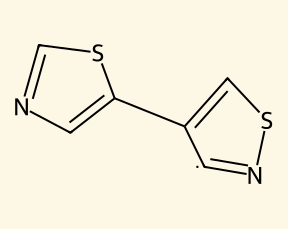 [c]1nscc1-c1cncs1